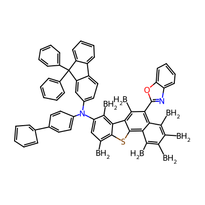 Bc1c(B)c(B)c2c(c1B)c(-c1nc3ccccc3o1)c(B)c1c2sc2c(B)cc(N(c3ccc(-c4ccccc4)cc3)c3ccc4c(c3)C(c3ccccc3)(c3ccccc3)c3ccccc3-4)c(B)c21